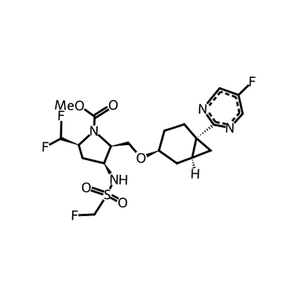 COC(=O)N1[C@H](C(F)F)C[C@H](NS(=O)(=O)CF)[C@@H]1CO[C@H]1CC[C@@]2(c3ncc(F)cn3)C[C@H]2C1